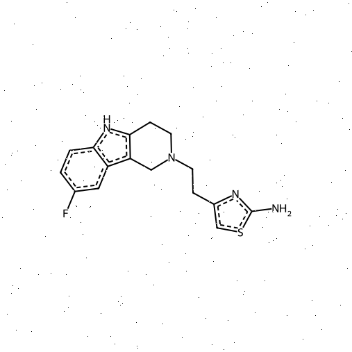 Nc1nc(CCN2CCc3[nH]c4ccc(F)cc4c3C2)cs1